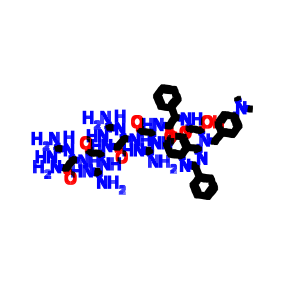 CN(C)c1ccc(CN(c2nc(-c3ccccc3)nc3ccccc23)C(O)C(=O)NC(C(=O)NC(NC(=N)N)C(=O)NC(NC(=N)N)C(=O)NC(NC(=N)N)C(=O)NC(NC(=N)N)C(N)=O)c2ccccc2)cc1